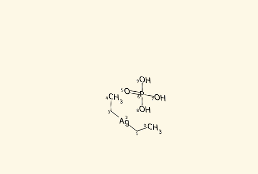 C[CH2][Ag][CH2]C.O=P(O)(O)O